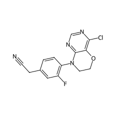 N#CCc1ccc(N2CCOc3c(Cl)ncnc32)c(F)c1